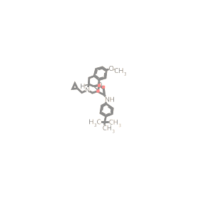 COc1ccc2c(c1)C13CCN(CC4CC4)[C@H](C2)[C@]12CCC(Nc1ccc(C(C)(C)C)cc1)(CO2)C3